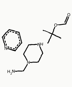 CC(C)(C)OC=O.NCN1CCNCC1.c1ccncc1